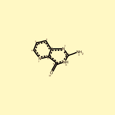 Nc1nc2cccnc2c(=O)[nH]1